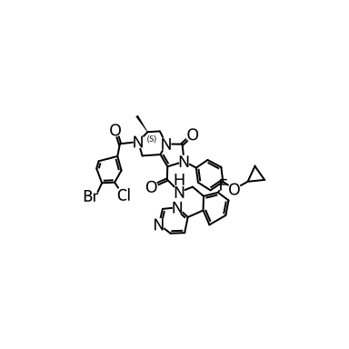 C[C@H]1Cn2c(c(C(=O)NCc3c(F)cccc3-c3ccncn3)n(-c3ccc(OC4CC4)cc3)c2=O)CN1C(=O)c1ccc(Br)c(Cl)c1